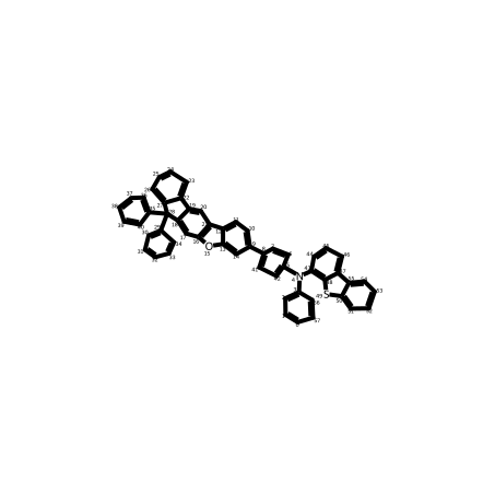 c1ccc(N(c2ccc(-c3ccc4c(c3)oc3cc5c(cc34)-c3ccccc3C5(c3ccccc3)c3ccccc3)cc2)c2cccc3c2sc2ccccc23)cc1